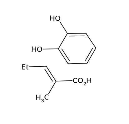 CCC=C(C)C(=O)O.Oc1ccccc1O